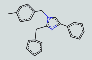 Cc1ccc(Cn2cc(-c3ccccc3)nc2Cc2ccccc2)cc1